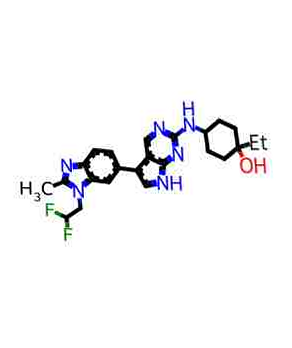 CCC1(O)CCC(Nc2ncc3c(-c4ccc5nc(C)n(CC(F)F)c5c4)c[nH]c3n2)CC1